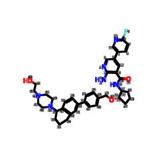 Nc1ncc(-c2ccc(F)nc2)cc1C(=O)N[C@H]1CCC[C@@H]1OCc1ccc(-c2ccc3c(c2)CCCC3N2CCN(CCO)CC2)cc1